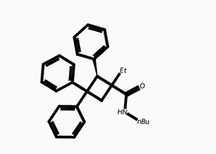 CCCCNC(=O)C1(CC)CC(c2ccccc2)(c2ccccc2)[C@H]1c1ccccc1